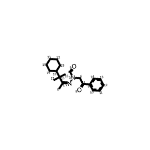 C/C(=N/N(C=O)CC(=O)c1ccccc1)C(C)(C)C1CCCCC1